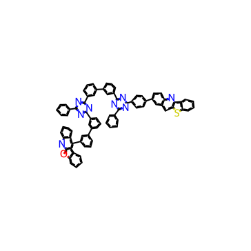 c1ccc(-c2nc(-c3ccc(-c4ccc5nc6c(cc5c4)sc4ccccc46)cc3)nc(-c3cccc(-c4cccc(-c5nc(-c6ccccc6)nc(-c6cccc(-c7cccc(-c8c9ccccc9nc9oc%10ccccc%10c89)c7)c6)n5)c4)c3)n2)cc1